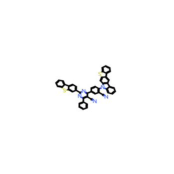 N#Cc1cc(-c2nc(-c3ccc4c(c3)sc3ccccc34)nc(-c3ccccc3)c2C#N)ccc1-n1c2ccccc2c2cc3c(cc21)sc1ccccc13